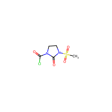 CS(=O)(=O)N1CCN(C(=O)Cl)C1=O